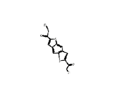 O=C(CCl)c1cc2cc3sc(C(=O)CCl)cc3cc2s1